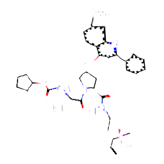 C=C[C@H](CCNC(=O)[C@@H]1C[C@@H](Oc2cc(-c3ccccc3)nc3cc(OC)ccc23)CN1C(=O)[C@@H](NC(=O)OC1CCCC1)C(C)(C)C)P(C)(=O)O